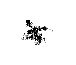 CN(C(=O)OC(C)(C)C)[C@@H]1[C@@H](O)[C@@H](O[C@@H]2[C@@H](O)[C@H](O[C@H]3OC(CNCCCN4C(=O)c5ccccc5C4=O)=CC[C@H]3NC(=O)OCc3ccc([N+](=O)[O-])cc3)[C@@H](NC(=O)OCc3ccc([N+](=O)[O-])cc3)C[C@H]2NC(=O)[C@@H](O)CNC(=O)OC(C)(C)C)OC[C@]1(C)O